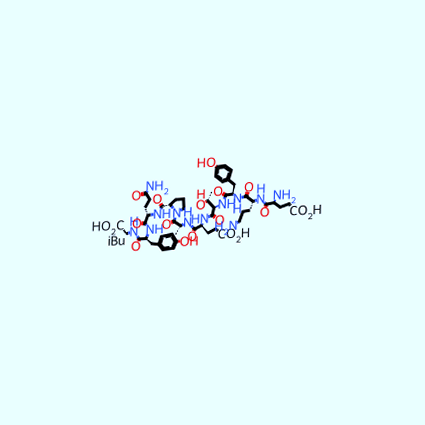 CC[C@H](C)[C@H](NC(=O)[C@H](Cc1ccc(O)cc1)NC(=O)[C@H](CCC(N)=O)NC(=O)[C@@H]1CCCN1C(=O)[C@@H](C)NC(=O)[C@H](CCC(=O)O)NC(=O)[C@H](NC(=O)[C@@H](Cc1ccc(O)cc1)NC(=O)[C@@H](CCCN)NC(=O)[C@@H](N)CCC(=O)O)[C@@H](C)O)C(=O)O